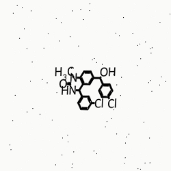 CN1C(=O)NC(c2cccc(Cl)c2)c2cc(C(O)c3ccc(Cl)cc3)ccc21